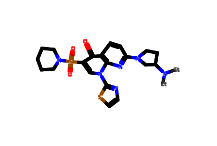 CCN(CC)C1CCN(c2ccc3c(=O)c(S(=O)(=O)N4CCCCC4)cn(-c4nccs4)c3n2)C1